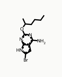 CCCCC(C)Oc1nc(N)c2cc(Br)[nH]c2n1